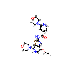 COc1cnc(N2CCOCC2)c2sc(NC(=O)c3ccnc(N4CCOCC4)c3)nc12